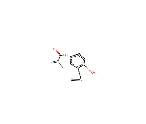 C=C(C)C(=O)O.C=Cc1ccccc1O